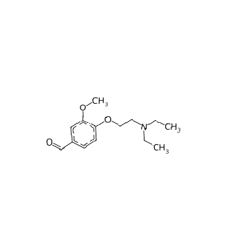 CCN(CC)CCOc1ccc(C=O)cc1OC